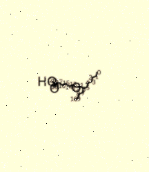 CCCCCCC(CCCC)COCCCCCC(=O)O